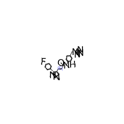 Cn1ncc(/C=C/C(=O)Nc2ccc(Cn3cnnn3)cc2)c1-c1ccc(F)cc1